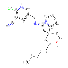 CCCCCC1C[C@](CCNCc2cnc(Cl)c(C#N)c2)(c2ccccn2)CCO1